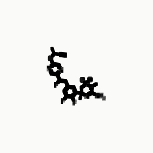 C#C[C@H](C)Oc1cnc(/C(F)=C/c2cc(F)c(F)c([C@]3(C)CS(=O)(=O)N(C)C(N)=N3)c2)cn1